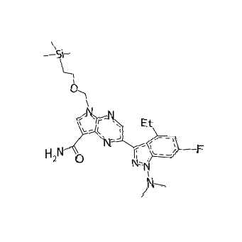 CCc1cc(F)cc2c1c(-c1cnc3c(n1)c(C(N)=O)cn3COCC[Si](C)(C)C)nn2N(C)C